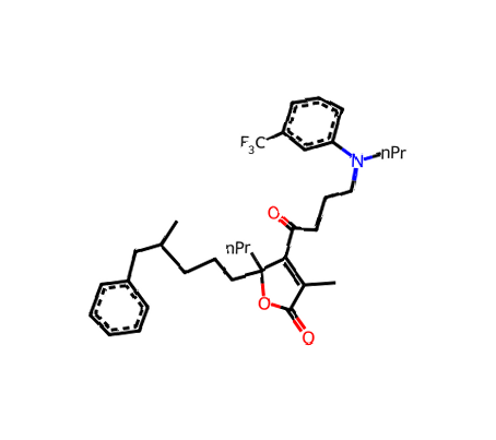 CCCN(CCCC(=O)C1=C(C)C(=O)OC1(CCC)CCCC(C)Cc1ccccc1)c1cccc(C(F)(F)F)c1